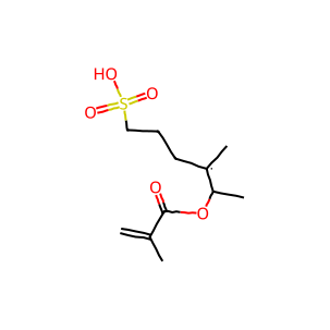 C=C(C)C(=O)OC(C)[C](C)CCCS(=O)(=O)O